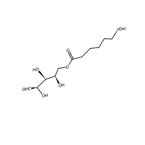 CCCCCCCCCCCCCCCC(=O)OC[C@@H](O)[C@H](O)[C@@H](O)C=O